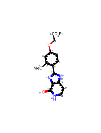 CCOC(=O)COc1ccc(-c2nc3c(=O)[nH]ccc3[nH]2)c(OC)c1